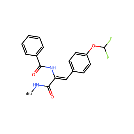 CCC(C)NC(=O)C(=Cc1ccc(OC(F)F)cc1)NC(=O)c1ccccc1